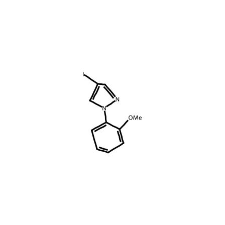 COc1ccccc1-n1cc(I)cn1